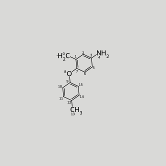 [CH2]c1cc(N)ccc1Oc1ccc(C)cc1